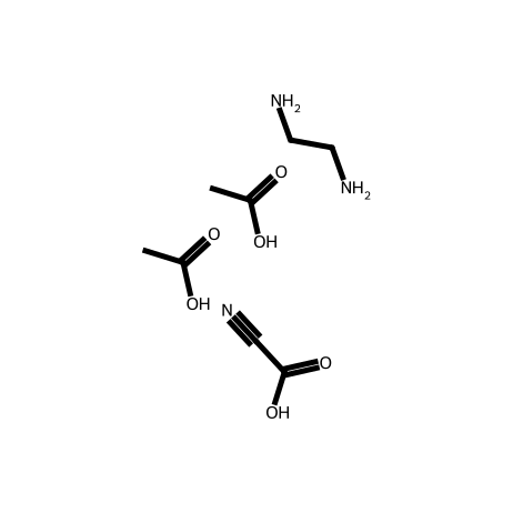 CC(=O)O.CC(=O)O.N#CC(=O)O.NCCN